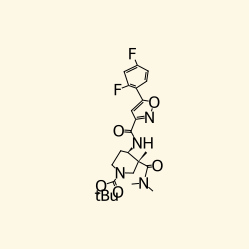 CN(C)C(=O)[C@]1(C)CN(C(=O)OC(C)(C)C)CC[C@H]1NC(=O)c1cc(-c2ccc(F)cc2F)on1